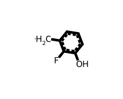 [CH2]c1cccc(O)c1F